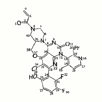 C=CC(=O)N1CCN2c3nc(=O)n(-c4c(C)ccnc4C(C)C)c4nc(-c5c(O)ccc(F)c5F)c(Cl)c(c34)OCC2C1